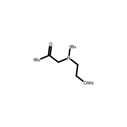 COCCN(CC(=O)C(C)(C)C)C(C)(C)C